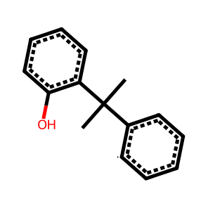 CC(C)(c1[c]cccc1)c1ccccc1O